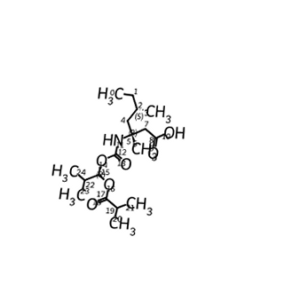 CC[C@H](C)C[C@](C)(CC(=O)O)NC(=O)O[C@@H](OC(=O)C(C)C)C(C)C